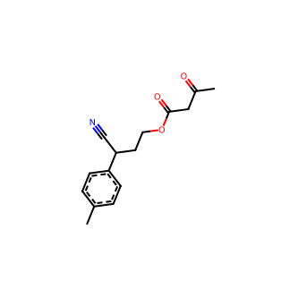 CC(=O)CC(=O)OCCC(C#N)c1ccc(C)cc1